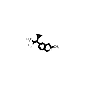 CC(C)=C(c1ccc2c(c1)CC(C)OC2)C1CC1